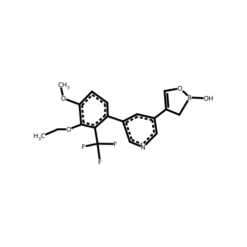 CCOc1c(OC)ccc(-c2cncc(C3=COB(O)C3)c2)c1C(F)(F)F